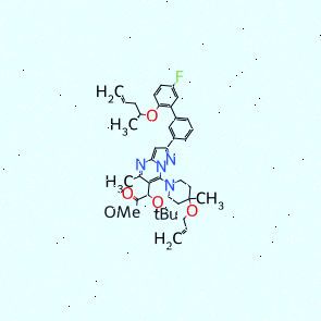 C=CCOC1(C)CCN(c2c(C(OC(C)(C)C)C(=O)OC)c(C)nc3cc(-c4cccc(-c5cc(F)ccc5O[C@@H](C)CC=C)c4)nn23)CC1